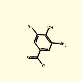 Bc1cc(C(=O)Cl)cc(Br)c1O